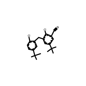 CC(C)(C)c1ccc(Cl)c(Cc2cc(C(C)(C)C)cc(C#N)c2Cl)c1